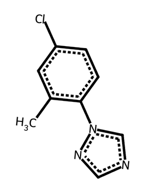 Cc1cc(Cl)ccc1-n1cncn1